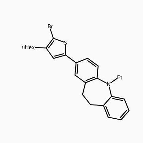 CCCCCCc1cc(-c2ccc3c(c2)CCc2ccccc2N3CC)sc1Br